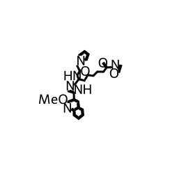 COc1nc2ccccc2cc1-c1cnc(C(CCCCCC(=O)c2ncco2)NC(=O)Cn2cccc2)[nH]1